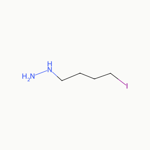 NNCCCCI